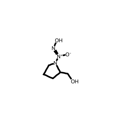 [O-][N+](=NO)N1CCCC1CO